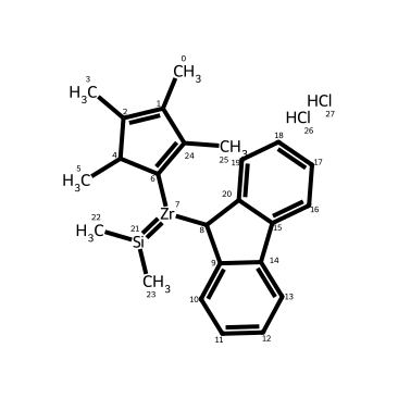 CC1=C(C)C(C)[C]([Zr]([CH]2c3ccccc3-c3ccccc32)=[Si](C)C)=C1C.Cl.Cl